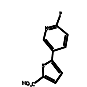 O=C(O)c1ccc(-c2ccc(F)nc2)s1